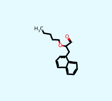 CCCCCOC([C]=O)Cc1cccc2ccccc12